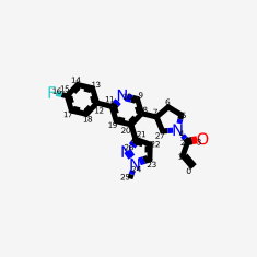 C=CC(=O)N1CCC(c2cnc(-c3ccc(F)cc3)cc2-c2ccn(C)n2)C1